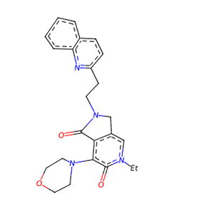 CCn1cc2c(c(N3CCOCC3)c1=O)C(=O)N(CCc1ccc3ccccc3n1)C2